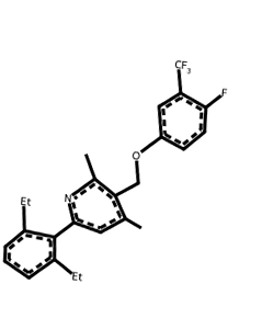 CCc1cccc(CC)c1-c1cc(C)c(COc2ccc(F)c(C(F)(F)F)c2)c(C)n1